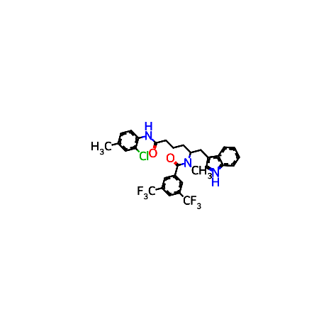 Cc1ccc(NC(=O)CCCC(Cc2c[nH]c3ccccc23)N(C)C(=O)c2cc(C(F)(F)F)cc(C(F)(F)F)c2)c(Cl)c1